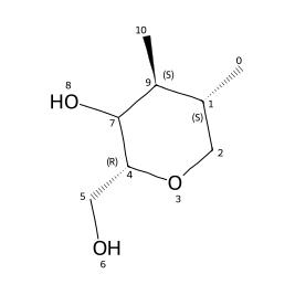 C[C@@H]1CO[C@H](CO)C(O)[C@H]1C